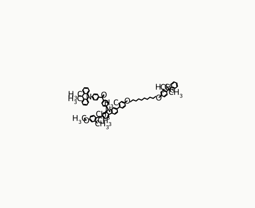 COc1ccc(C(C)(C)c2ccc3c4ccc(-c5ccc(OCCCCCCCCCCOc6ccc(C(C)(C)c7ccccc7)c(C)c6)cc5C)cc4n(-c4ccc(C(=O)c5ccc(N6c7ccccc7C(C)(C)c7ccccc76)cc5)cc4)c3c2)c(C)c1